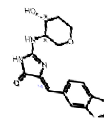 O=C1NC(N[C@@H]2COCC[C@H]2O)=N/C1=C\c1ccc2[nH]cnc2c1